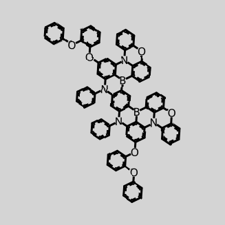 c1ccc(Oc2ccccc2Oc2cc3c4c(c2)N2c5ccccc5Oc5cccc(c52)B4c2cc4c(cc2N3c2ccccc2)N(c2ccccc2)c2cc(Oc3ccccc3Oc3ccccc3)cc3c2B4c2cccc4c2N3c2ccccc2O4)cc1